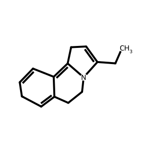 CCC1=CCC2=C3C=CCC=C3CCN12